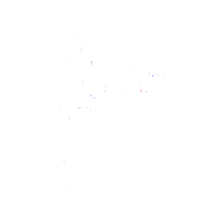 NS(=O)(=O)c1ccc(-n2nc(C(F)(F)CCCCC=O)cc2-c2ccc(F)cc2)cc1